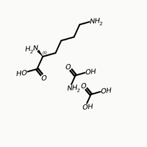 NC(=O)O.NCCCC[C@H](N)C(=O)O.O=C(O)O